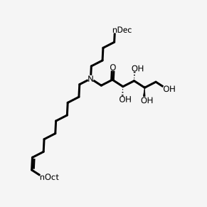 CCCCCCCC/C=C\CCCCCCCCN(CCCCCCCCCCCCCC)CC(=O)[C@@H](O)[C@H](O)[C@H](O)CO